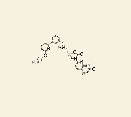 O=C1O[C@@H](CCNCc2cccc(-c3cccc(OC4CNC4)n3)c2)CN1c1ccc2ncc(=O)oc2n1